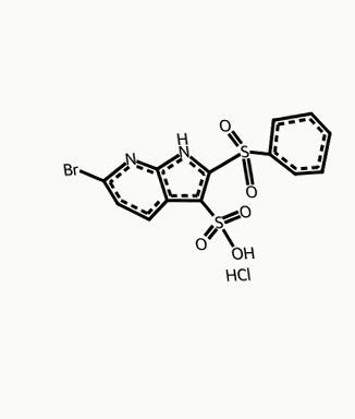 Cl.O=S(=O)(O)c1c(S(=O)(=O)c2ccccc2)[nH]c2nc(Br)ccc12